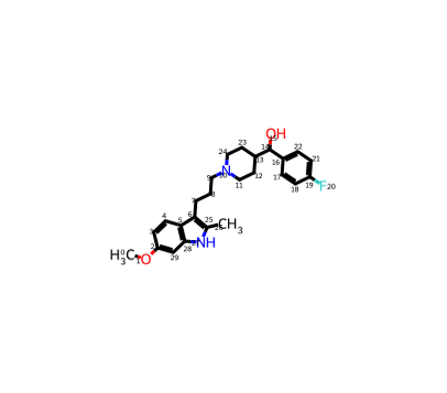 COc1ccc2c(CCCN3CCC(C(O)c4ccc(F)cc4)CC3)c(C)[nH]c2c1